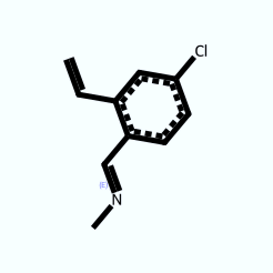 C=Cc1cc(Cl)ccc1/C=N/C